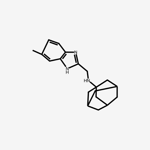 Cc1ccc2nc(CNC34CC5CC(CC(C5)C3)C4)[nH]c2c1